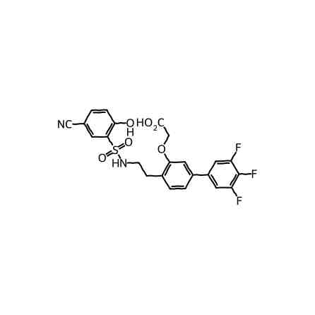 N#Cc1ccc(O)c(S(=O)(=O)NCCc2ccc(-c3cc(F)c(F)c(F)c3)cc2OCC(=O)O)c1